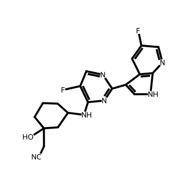 N#CCC1(O)CCCC(Nc2nc(-c3c[nH]c4ncc(F)cc34)ncc2F)C1